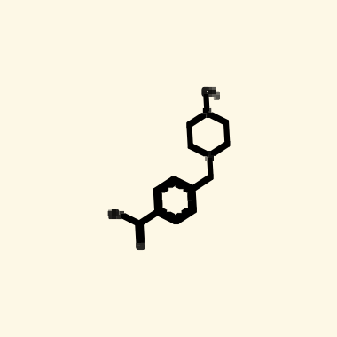 CN1CCN(Cc2ccc(C(=O)C(C)(C)C)cc2)CC1